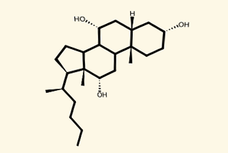 CCCC[C@@H](C)[C@H]1CCC2C3C(C[C@H](O)[C@@]21C)[C@@]1(C)CC[C@@H](O)C[C@H]1C[C@H]3O